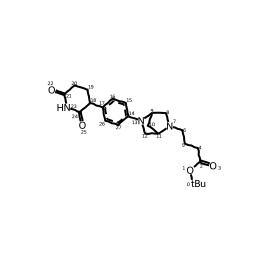 CC(C)(C)OC(=O)CCCN1CC2CC1CN2c1ccc(C2CCC(=O)NC2=O)cc1